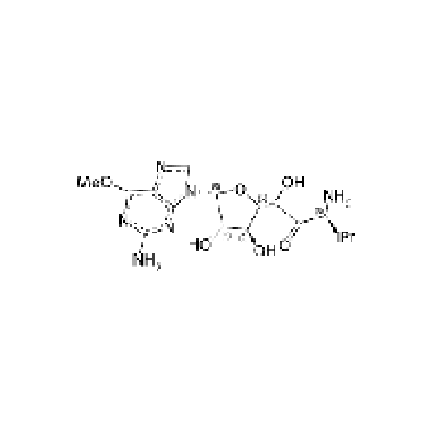 COc1nc(N)nc2c1ncn2[C@@H]1O[C@H](C(O)C(=O)[C@@H](N)C(C)C)[C@@H](O)[C@@H]1O